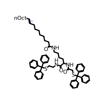 CCCCCCCC/C=C/CCCCCCCC(=O)NCCCCC(NC(=O)CSC(c1ccccc1)(c1ccccc1)c1ccccc1)C(=O)NCCSC(c1ccccc1)(c1ccccc1)c1ccccc1